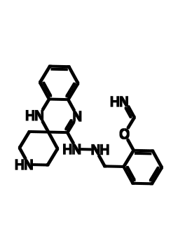 N=COc1ccccc1CNNC1=Nc2ccccc2NC12CCNCC2